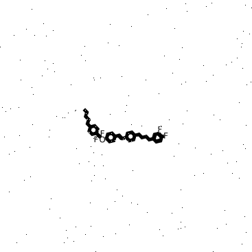 CCCCCC1CCC(C(F)(F)OC2CCC(/C=C/C3CCC(CCCCc4ccc(F)c(F)c4)CC3)CC2)CC1